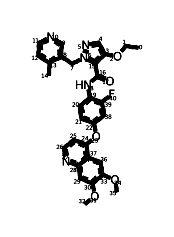 CCOc1cnn(Cc2cnccc2C)c1C(=O)Nc1ccc(Oc2ccnc3cc(OC)c(OC)cc23)cc1F